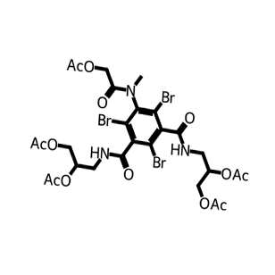 CC(=O)OCC(=O)N(C)c1c(Br)c(C(=O)NCC(COC(C)=O)OC(C)=O)c(Br)c(C(=O)NCC(COC(C)=O)OC(C)=O)c1Br